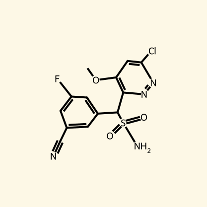 COc1cc(Cl)nnc1C(c1cc(F)cc(C#N)c1)S(N)(=O)=O